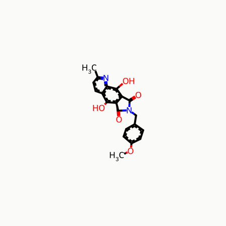 COc1ccc(CN2C(=O)c3c(c(O)c4nc(C)ccc4c3O)C2=O)cc1